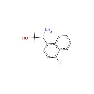 CC(C)(O)[C@H](N)c1ccc(F)c2ccccc12